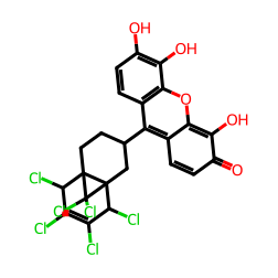 O=c1ccc2c(C3CCC45C(Cl)C(Cl)=C(Cl)C(Cl)C4(C3)C5(Cl)Cl)c3ccc(O)c(O)c3oc-2c1O